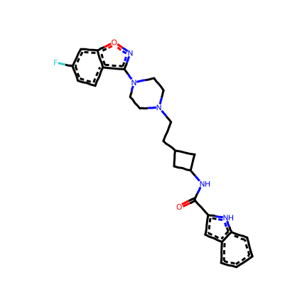 O=C(NC1CC(CCN2CCN(c3noc4cc(F)ccc34)CC2)C1)c1cc2ccccc2[nH]1